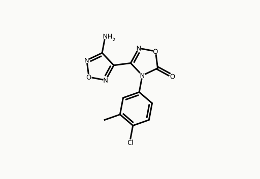 Cc1cc(-n2c(-c3nonc3N)noc2=O)ccc1Cl